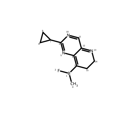 CB(F)C1=c2nc(C3CC3)ncc2=NCC1